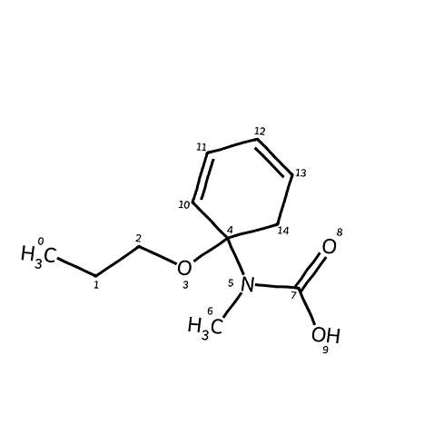 CCCOC1(N(C)C(=O)O)C=CC=CC1